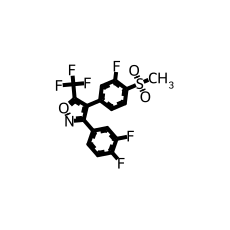 CS(=O)(=O)c1ccc(-c2c(-c3ccc(F)c(F)c3)noc2C(F)(F)F)cc1F